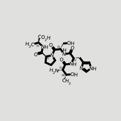 C[C@H](NC(=O)[C@@H]1CCCN1C(=O)[C@H](CO)NC(=O)[C@H](Cc1c[nH]cn1)NC(=O)[C@@H](N)[C@@H](C)O)C(=O)O